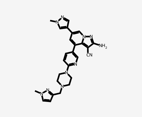 Cn1cc(-c2cc(-c3ccc(N4CCN(Cc5ccn(C)n5)CC4)nc3)c3c(C#N)c(N)nn3c2)cn1